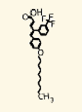 CCCCCCCCCCOc1ccc(/C=C(/C=C/C(=O)O)c2cccc(C(F)(F)F)c2)cc1